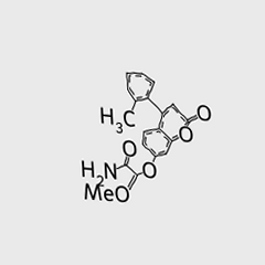 COC=C(Oc1ccc2c(-c3ccccc3C)cc(=O)oc2c1)C(N)=O